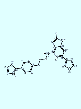 Cc1cc2c(NCCCc3ccc(-c4nccs4)cc3)nc(-c3ccoc3)nc2s1